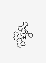 c1ccc2c3c(ccc2c1)-c1cccc2cccc(c12)N3c1nc(-c2cccc3c2sc2ccccc23)c2oc3ccccc3c2n1